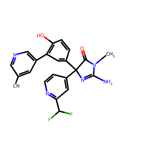 CN1C(=O)C(c2ccnc(C(F)F)c2)(c2ccc(O)c(-c3cncc(C#N)c3)c2)N=C1N